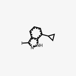 Ic1n[nH]c2c(C3CC3)cccc12